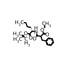 CCCC[C@H](NC(=O)C(Cc1ccccc1)C(=O)OCC)C(=O)OC(C)(C)C